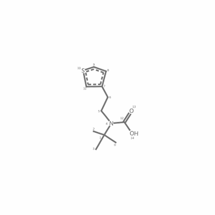 CC(C)(C)N(CCc1ccsc1)C(=O)O